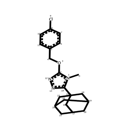 Cn1c(OCc2ccc(Cl)cc2)nnc1C12CC3CC(CC(C3)C1)C2